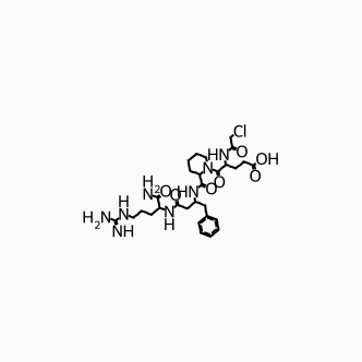 N=C(N)NCCCC(NC(=O)CC(Cc1ccccc1)NC(=O)C1CCCCN1C(=O)C(CCC(=O)O)NC(=O)CCl)C(N)=O